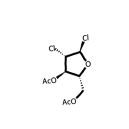 CC(=O)OC[C@H]1O[C@H](Cl)[C@@H](Cl)[C@@H]1OC(C)=O